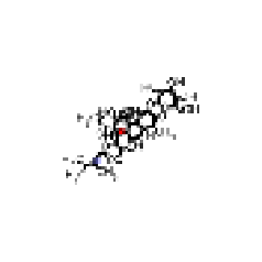 COC(=O)[C@@]12OC[C@]34[C@H]([C@@H](O)[C@@H]1O)[C@@]1(C)C=C(O[C@@H]5O[C@H](CO)[C@@H](O)[C@H](O)[C@H]5O)C(=O)[C@@H](C)[C@@H]1C[C@H]3OC(=O)[C@H](OC(=O)/C=C(\C)C(C)C)[C@@H]24